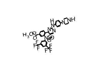 COC(=O)c1ccc2c(c1)N(c1cc(C(F)(F)F)cc(C(F)(F)F)c1)S(=O)(=O)c1cnc(Nc3ccc(N4CCNCC4)cc3)nc1-2